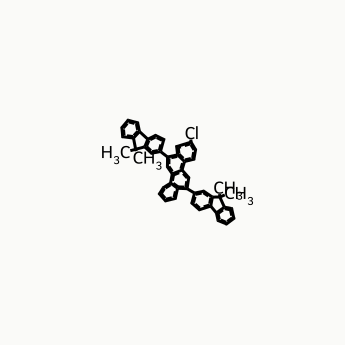 CC1(C)c2ccccc2-c2ccc(-c3cc4c5ccc(Cl)cc5c(-c5ccc6c(c5)C(C)(C)c5ccccc5-6)cc4c4ccccc34)cc21